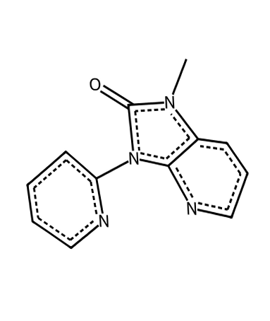 Cn1c(=O)n(-c2ccccn2)c2ncccc21